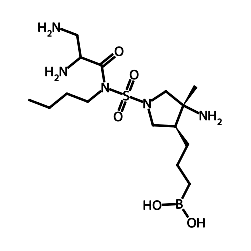 CCCCN(C(=O)C(N)CN)S(=O)(=O)N1C[C@H](CCCB(O)O)[C@@](C)(N)C1